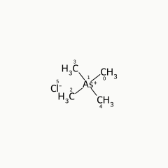 C[As+](C)(C)C.[Cl-]